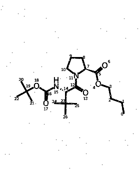 CCCCOC(=O)[C@@H]1CCCN1C(=O)[C@@H](NC(=O)OC(C)(C)C)C(C)(C)C